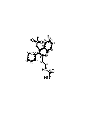 CS(=O)(=O)Cc1c(-c2ccccc2)c(CCNC(=O)O)nc2ccc(F)cc12